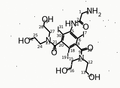 NCC(=O)Nc1c(I)c(C(=O)N(CCO)CCO)c(I)c(C(=O)N(CCO)CCO)c1I